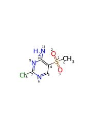 CS(=O)(=O)c1cnc(Cl)nc1N